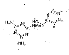 CNc1nc(N)nc(N)n1.OCc1ccnnn1